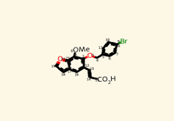 COc1c(OCc2ccc(Br)cc2)c(/C=C/C(=O)O)cc2ccoc12